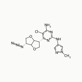 Cn1cc(Nc2nc(N)c(Cl)c([C@@H]3COC4C3OC[C@H]4N=[N+]=[N-])n2)cn1